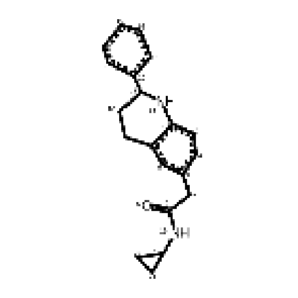 O=C(Cc1ccc2c(c1)CCC(c1ccccc1)N2)NC1CC1